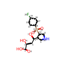 O=C(O)/C(O)=C/C(=O)c1c[nH]cc1S(=O)(=O)c1ccc(F)cc1